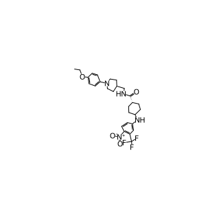 CCOc1ccc(N2CCC(CNC(=O)[C@H]3CC[C@H](Nc4ccc([N+](=O)[O-])c(C(F)(F)F)c4)CC3)CC2)cc1